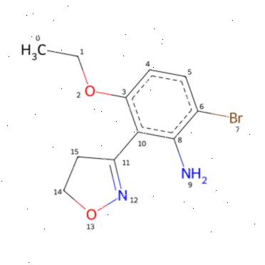 CCOc1ccc(Br)c(N)c1C1=NOCC1